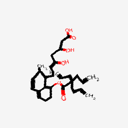 C=CCC(CC=C)(CC=C)C(=O)OC1CCC=C2C=CC(C)C(CCC(O)CC(O)CC(=O)O)C21